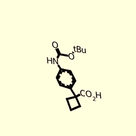 CC(C)(C)OC(=O)Nc1ccc(C2(C(=O)O)CCC2)cc1